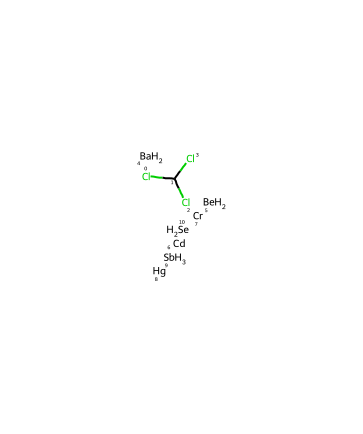 ClC(Cl)Cl.[BaH2].[BeH2].[Cd].[Cr].[Hg].[SbH3].[SeH2]